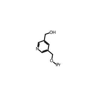 CC(C)OCc1cncc(CO)c1